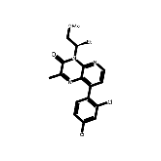 CC[C@H](COC)n1c(=O)c(C)nc2c(-c3ccc(Cl)cc3Cl)ccnc21